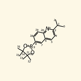 CC(C)c1ccc2cc(B3OC(C)(C)C(C)(C)O3)ccc2n1